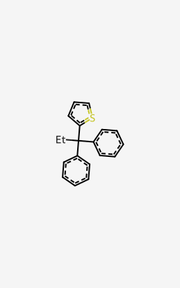 CCC(c1ccccc1)(c1ccccc1)c1cccs1